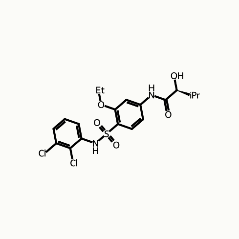 CCOc1cc(NC(=O)[C@@H](O)C(C)C)ccc1S(=O)(=O)Nc1cccc(Cl)c1Cl